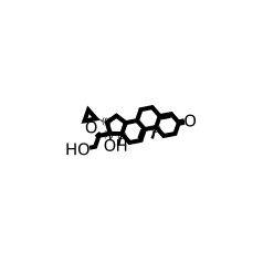 C[C@]12CCC(=O)C=C1CCC1C2=CC[C@@]2(C)C1C[C@@H](C1CC1)[C@]2(O)C(=O)CO